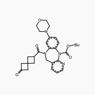 CC(C)(C)OC(=O)N1c2ccc(N3CCOCC3)cc2N(C(=O)C2CC3(CC(=O)C3)C2)Cc2cccnc21